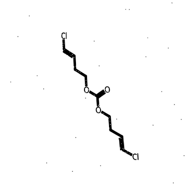 O=C(OCCC=CCl)OCCC=CCl